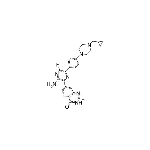 Cc1nc2cc(-c3nc(-c4ccc(N5CCN(CC6CC6)CC5)cc4)c(F)nc3N)ccc2c(=O)[nH]1